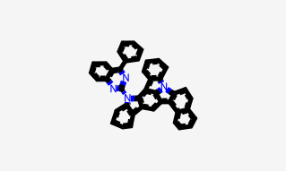 c1ccc(-c2nc(-n3c4ccccc4c4cc5c6c7ccccc7ccc6n6c7ccccc7c(c43)c56)nc3ccccc23)cc1